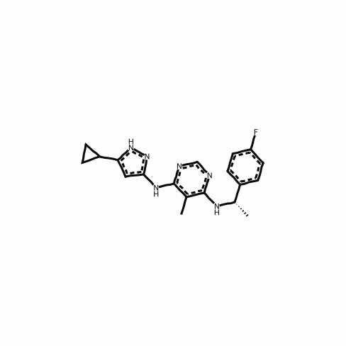 Cc1c(Nc2cc(C3CC3)[nH]n2)ncnc1N[C@@H](C)c1ccc(F)cc1